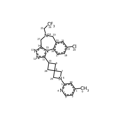 Cc1ccnc(N2CC3(CC(c4nnc5n4-c4ccc(Cl)cc4CN(CC(F)(F)F)C5)C3)C2)c1